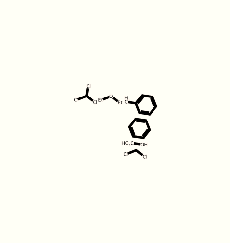 CCOCC.Cc1ccccc1.ClC(Cl)Cl.ClCCl.O=C(O)O.c1ccccc1